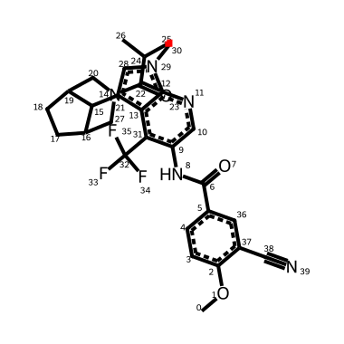 COc1ccc(C(=O)Nc2cnc3c(c(C4C5CCC4CN(C(=O)C(C)C)C5)cn3C)c2C(F)(F)F)cc1C#N